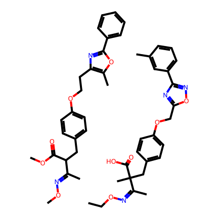 CCO/N=C(/C)C(C)(Cc1ccc(OCc2nc(-c3cccc(C)c3)no2)cc1)C(=O)O.CO/N=C(\C)C(Cc1ccc(OCCc2nc(-c3ccccc3)oc2C)cc1)C(=O)OC